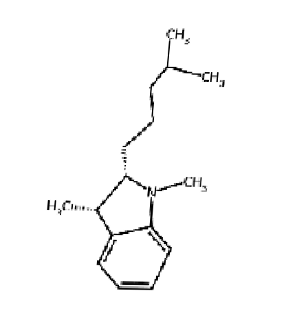 CC(C)CCC[C@H]1[C@@H](C)c2ccccc2N1C